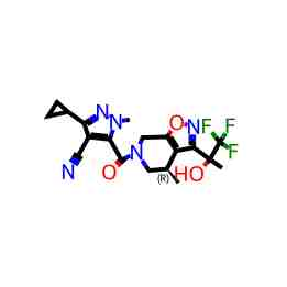 C[C@H]1CN(C(=O)c2c(C#N)c(C3CC3)nn2C)Cc2onc(C(C)(O)C(F)(F)F)c21